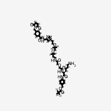 CC(C)(CCNC(=O)COCC(=O)N[C@@H](CCCCN)C(=O)Nc1ccc(COC(=O)C(C)(C)C)cc1)OCC(C)(C)OCCn1cc(CNC(=O)C2CCC(CN3C(=O)C=CC3=O)CC2)nn1